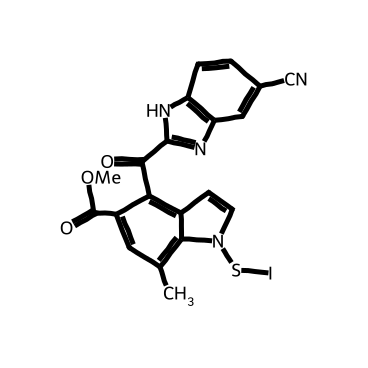 COC(=O)c1cc(C)c2c(ccn2SI)c1C(=O)c1nc2cc(C#N)ccc2[nH]1